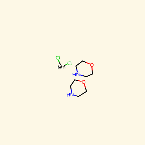 C1COCCN1.C1COCCN1.[Cl][Mn][Cl]